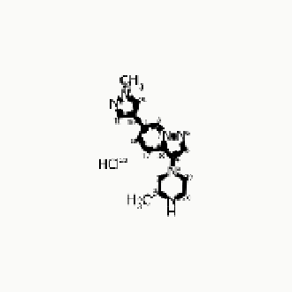 C[C@@H]1CN(c2cnn3cc(-c4cnn(C)c4)ccc23)CCN1.Cl